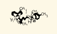 COc1cc(C)ccc1S(=O)(=O)NC(=O)/C=C/c1c(C)nn(C)c1-n1cc(C)c2cccnc21